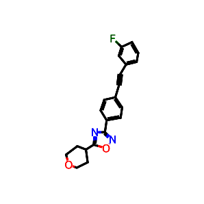 Fc1cccc(C#Cc2ccc(-c3noc(C4CCOCC4)n3)cc2)c1